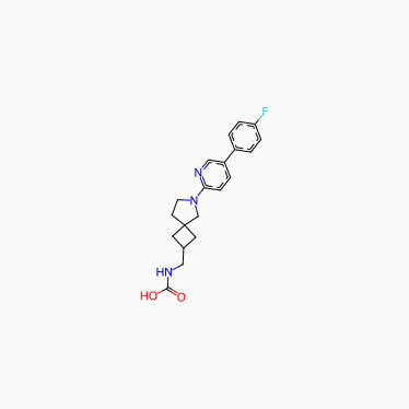 O=C(O)NCC1CC2(CCN(c3ccc(-c4ccc(F)cc4)cn3)C2)C1